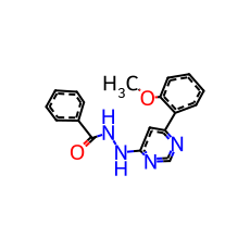 COc1ccccc1-c1cc(NNC(=O)c2ccccc2)ncn1